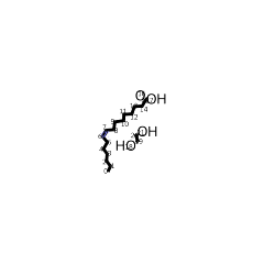 CCCCCC/C=C\CCCCCCCC(=O)O.OCCO